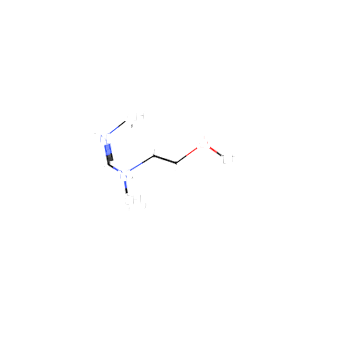 CCOCCN(C)/C=N\C